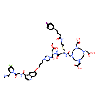 C/N=C/[C@H]1CC(F)(F)CN1C(=O)CNC(=O)c1ccnc2ccc(OCCCCN3CCN(C(=O)[C@H](CC(=O)OC)NC(=O)[C@H](CSCCNC(=O)CCCc4ccc(I)cc4)NC(=O)CN4CCN(CC(=O)O)CCN(CC(=O)O)CCN(CC(=O)O)CC4)CC3)cc12